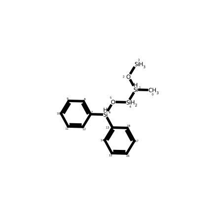 C[SiH](O[SiH3])[SiH2]O[SiH](c1ccccc1)c1ccccc1